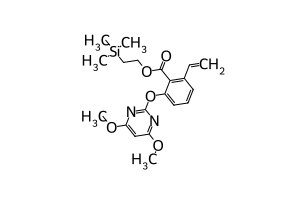 C=Cc1cccc(Oc2nc(OC)cc(OC)n2)c1C(=O)OCC[Si](C)(C)C